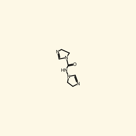 O=C(NN1C=NCC1)N1C=NCC1